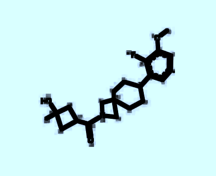 COc1cccc(C2CCC3(CC2)CN(C(=O)C2CC(C)(O)C2)C3)c1F